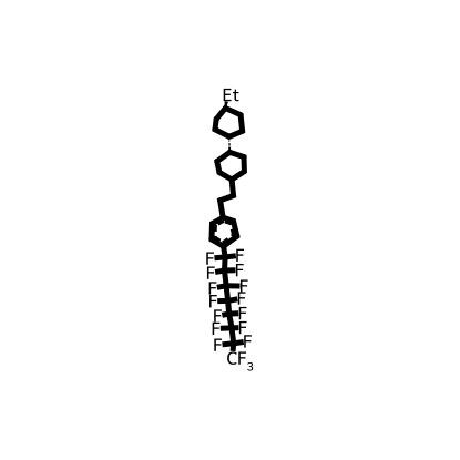 CC[C@H]1CC[C@H](C2CCC(CCc3ccc(C(F)(F)C(F)(F)C(F)(F)C(F)(F)C(F)(F)C(F)(F)C(F)(F)C(F)(F)F)cc3)CC2)CC1